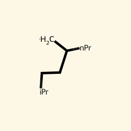 [CH2]C(CCC)CCC(C)C